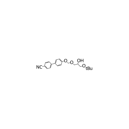 CC(C)(C)OCC(O)COCOc1ccc(-c2ccc(C#N)cc2)cc1